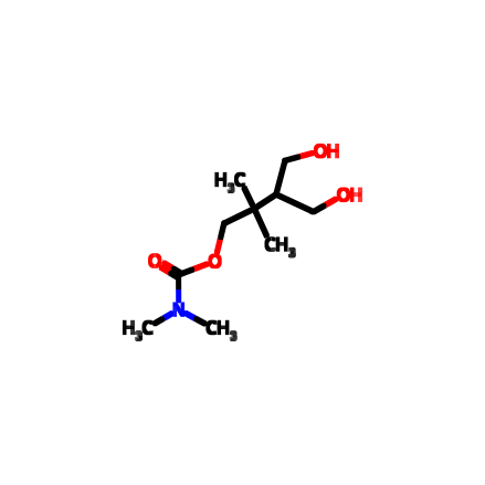 CN(C)C(=O)OCC(C)(C)C(CO)CO